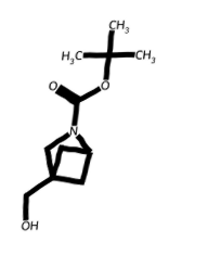 CC(C)(C)OC(=O)N1CC2(CO)CC1C2